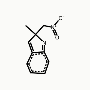 CC1(C[N+](=O)[O-])C=c2ccccc2=N1